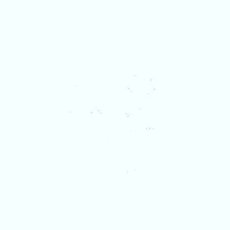 COC(=O)c1c(OCc2ccccc2)c(=O)c(C(=O)NCc2c(F)cc(F)cc2F)cn1C1CNc2cc(F)c(F)cc2OC1